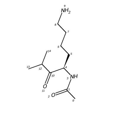 CC(=O)N[C@H](CCCCN)C(=O)C(C)C